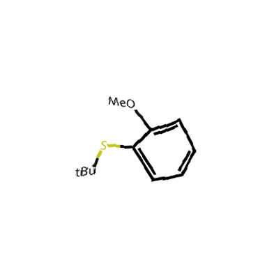 COc1ccccc1SC(C)(C)C